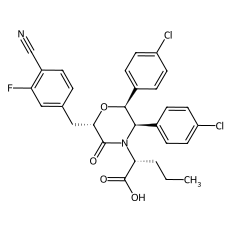 CCC[C@H](C(=O)O)N1C(=O)[C@H](Cc2ccc(C#N)c(F)c2)O[C@@H](c2ccc(Cl)cc2)[C@H]1c1ccc(Cl)cc1